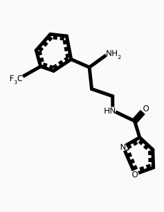 NC(CCNC(=O)c1ccon1)c1cccc(C(F)(F)F)c1